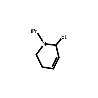 CCC1C=CCCN1C(C)C